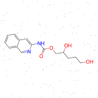 O=C(Nc1cc2ccccc2cn1)OCC(O)CCCO